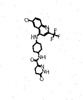 O=C1CCC(C(=O)NC2CCC(Nc3cc(C(F)(F)F)nc4ccc(Cl)cc34)CC2)=NN1